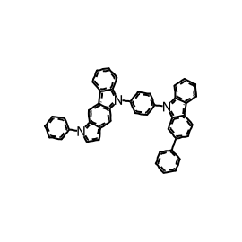 c1ccc(-c2ccc3c4ccccc4n(-c4ccc(-n5c6ccccc6c6cc7c(ccn7-c7ccccc7)cc65)cc4)c3c2)cc1